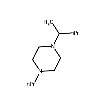 CCCN1CCN(C(C)C(C)C)CC1